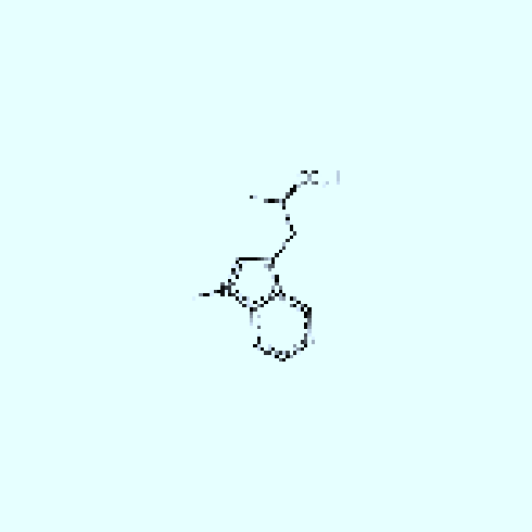 C[C@H](Cc1cn(C)c2ccccc12)C(=O)O